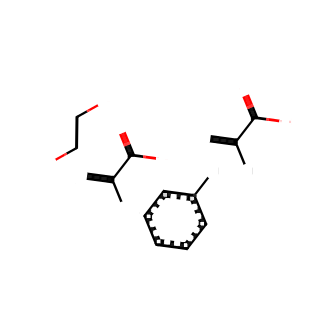 C=C(C)C(=O)O.C=C(C)C(=O)O.Cc1ccccc1.OCCO